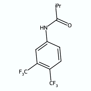 CC(C)C(=O)Nc1ccc(C(F)(F)F)c(C(F)(F)F)c1